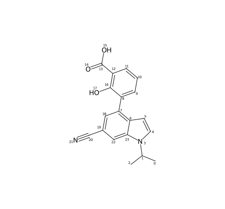 CC(C)n1ccc2c(-c3cccc(C(=O)O)c3O)cc(C#N)cc21